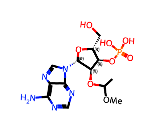 COC(C)O[C@@H]1[C@H](OP(=O)(O)O)[C@@H](CO)O[C@H]1n1cnc2c(N)ncnc21